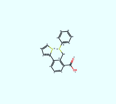 O=C(O)c1cccc(-c2cccs2)c1CSc1ccccc1